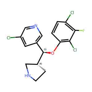 Fc1c(Cl)ccc(O[C@H](c2cncc(Cl)c2)[C@@H]2CCNC2)c1Cl